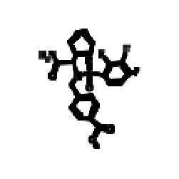 COC(=O)c1ccc(CN([C@@H](C(N)=O)c2ccccc2)S(=O)(=O)c2ccc(F)c(F)c2F)cc1